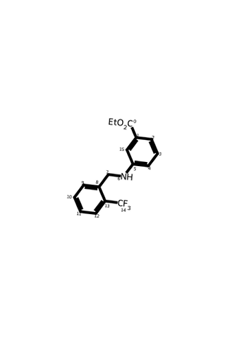 CCOC(=O)c1cccc(NCc2ccccc2C(F)(F)F)c1